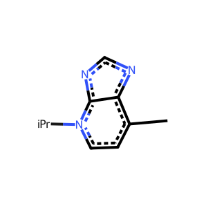 Cc1ccn(C(C)C)c2ncnc1-2